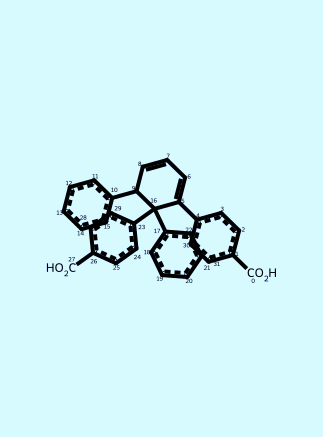 O=C(O)c1ccc(C2=CC=CC(c3ccccc3)C2(c2ccccc2)c2ccc(C(=O)O)cc2)cc1